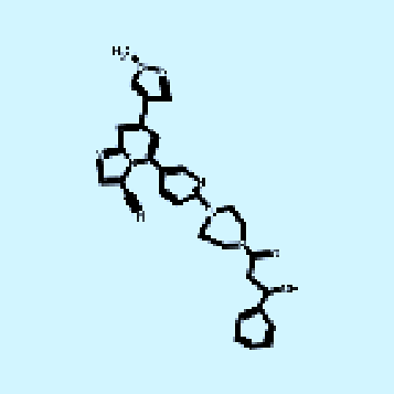 Cn1cc(-c2cc(-c3ccc(N4CCN(C(=O)CC(O)c5ccccc5)CC4)nc3)n3c(C#N)cnc3c2)cn1